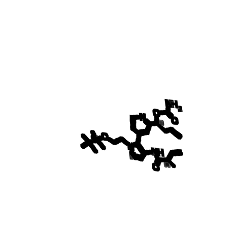 C=CC[C@H](OC(N)=O)c1cc(-c2c(NC(=O)[C@H](C)C=C)cnn2CCO[Si](C)(C)C(C)(C)C)ccn1